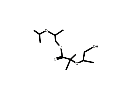 CC(C)OC(C)COC(=O)C(C)(C)OC(C)CO